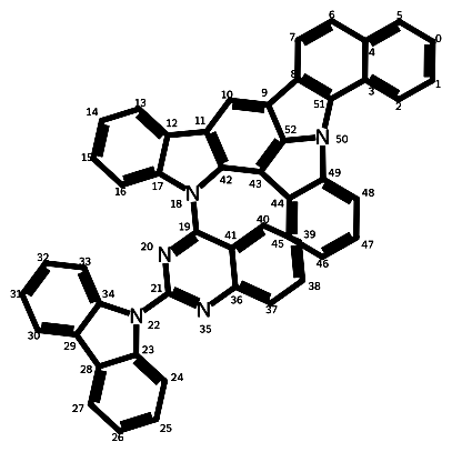 c1ccc2c(c1)ccc1c3cc4c5ccccc5n(-c5nc(-n6c7ccccc7c7ccccc76)nc6ccccc56)c4c4c5ccccc5n(c21)c34